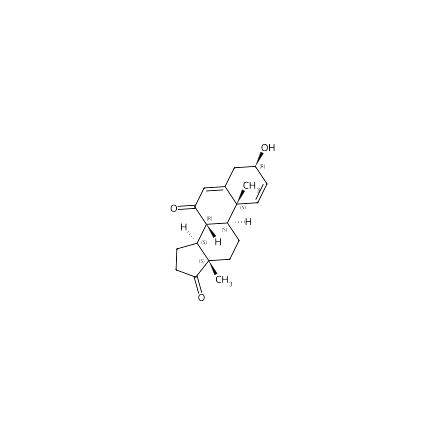 C[C@]12C=C[C@H](O)CC1=CC(=O)[C@@H]1[C@@H]2CC[C@]2(C)C(=O)CC[C@@H]12